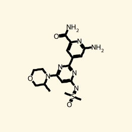 CC1COCCN1c1cc(N=S(C)(C)=O)nc(-c2cc(N)nc(C(N)=O)c2)n1